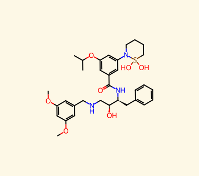 COc1cc(CNC[C@H](O)[C@H](Cc2ccccc2)NC(=O)c2cc(OC(C)C)cc(N3CCCCS3(O)O)c2)cc(OC)c1